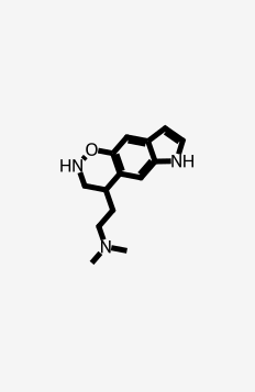 CN(C)CCC1CNOc2cc3cc[nH]c3cc21